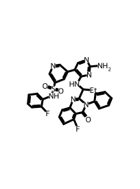 CCC(Nc1nc(N)ncc1-c1cncc(S(=O)(=O)Nc2ccccc2F)c1)c1nc2cccc(F)c2c(=O)n1-c1ccccc1